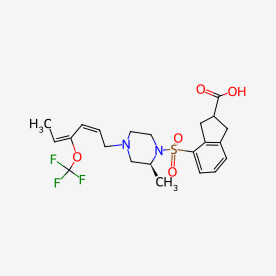 C/C=C(\C=C/CN1CCN(S(=O)(=O)c2cccc3c2CC(C(=O)O)C3)[C@@H](C)C1)OC(F)(F)F